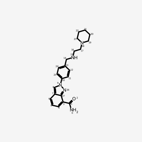 NC(=O)c1cccc2cn(-c3ccc(CNCCN4CCCCC4)cc3)nc12